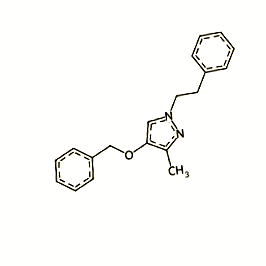 Cc1nn(CCc2ccccc2)cc1OCc1ccccc1